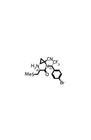 CSC[C@H](N)C(=O)N([C@@H](c1ccc(Br)cc1)C(F)(F)F)C1(C#N)CC1